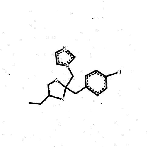 CCC1CSC(Cc2ccc(Cl)cc2)(Cn2ccnc2)S1